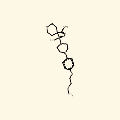 COCCOc1ccc(N2CCN(I(=O)(O)C3(C(=O)O)CCOCC3)CC2)cc1